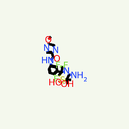 COc1cnc(C(=O)Nc2ccc(F)c(C3(C(F)F)CS(O)(O)C(C)(C)C(N)=N3)c2)cn1